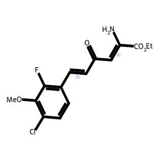 CCOC(=O)/C(N)=C/C(=O)/C=C/c1ccc(Cl)c(OC)c1F